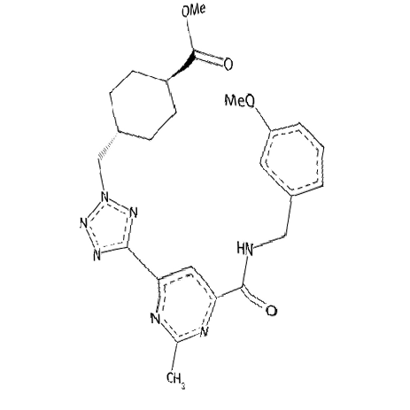 COc1cccc(CNC(=O)c2cc(-c3nnn(C[C@H]4CC[C@H](C(=O)OC)CC4)n3)nc(C)n2)c1